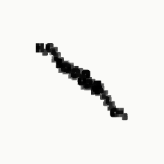 CCCCCCCCc1cnc(-c2ccc(OC(=O)c3ccc(-c4ccc(SCCCCCC)cc4)cc3)cc2)nc1